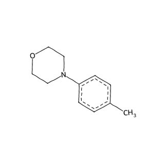 Cc1ccc(N2CCOCC2)cc1